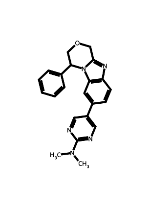 CN(C)c1ncc(-c2ccc3nc4n(c3c2)C(c2ccccc2)COC4)cn1